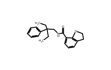 CCC(CC)(CNC(=O)c1cccc2c1OCC2)c1ccccc1